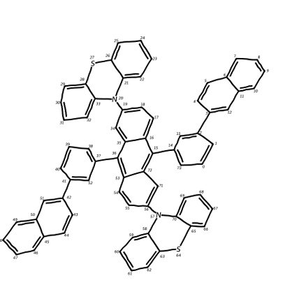 c1cc(-c2ccc3ccccc3c2)cc(-c2c3ccc(N4c5ccccc5Sc5ccccc54)cc3c(-c3cccc(-c4ccc5ccccc5c4)c3)c3ccc(N4c5ccccc5Sc5ccccc54)cc23)c1